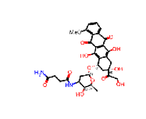 COc1cccc2c1C(=O)c1c(O)c3c(c(O)c1C2=O)C[C@@](O)(C(=O)CO)C[C@@H]3O[C@H]1CC(NC(=O)CCC(N)=O)[C@H](O)[C@H](C)O1